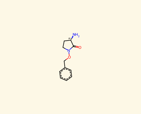 N[C@@H]1CCN(OCc2ccccc2)C1=O